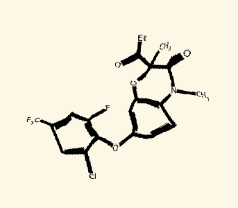 CCC(=O)C1(C)Oc2cc(Oc3c(F)cc(C(F)(F)F)cc3Cl)ccc2N(C)C1=O